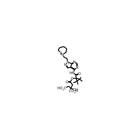 CC1(C)C(C)(C)C1(OC(=O)CC(O)(CC(=O)O)C(=O)O)C(=O)Nc1ncnc2c1cnn2CCN1CCCCCC1